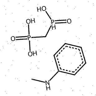 CNc1ccccc1.O=[PH](O)CP(=O)(O)O